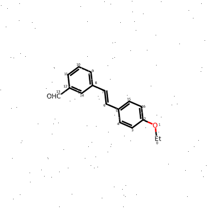 CCOc1ccc(/C=C/c2cccc(C=O)c2)cc1